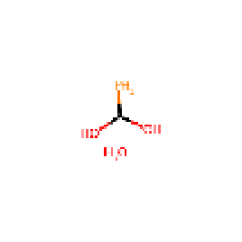 O.OC(O)P